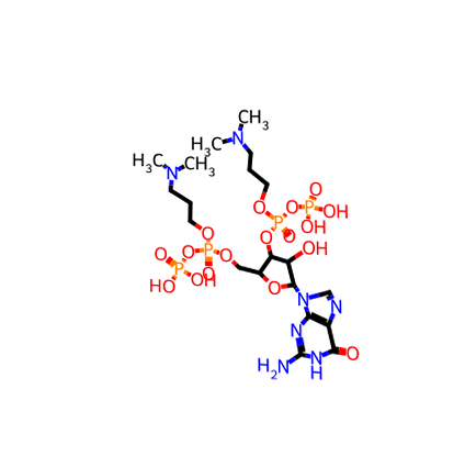 CN(C)CCCOP(=O)(OCC1OC(n2cnc3c(=O)[nH]c(N)nc32)C(O)C1OP(=O)(OCCCN(C)C)OP(=O)(O)O)OP(=O)(O)O